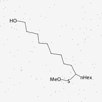 CCCCCCC(CCCCCCCCCO)SOC